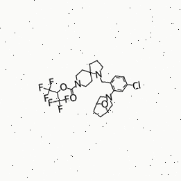 O=C(OC(C(F)(F)F)C(F)(F)F)N1CCC2(CCCN2Cc2ccc(Cl)cc2N2CC3CCC(C2)O3)CC1